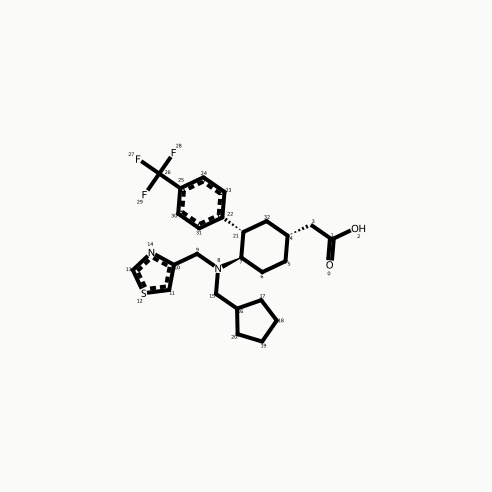 O=C(O)C[C@@H]1CC[C@@H](N(Cc2cscn2)CC2CCCC2)[C@H](c2ccc(C(F)(F)F)cc2)C1